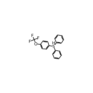 FC(F)(F)Oc1ccc([SH](c2ccccc2)c2ccccc2)cc1